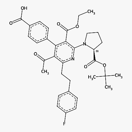 CCOC(=O)c1c(N2CCC[C@H]2C(=O)OC(C)(C)C)nc(CCc2ccc(F)cc2)c(C(C)=O)c1-c1ccc(C(=O)O)cc1